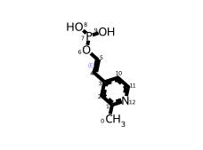 Cc1cc(/C=C/OP(O)O)ccn1